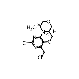 C[C@@H]1COC[C@H]2COc3c(CCl)nc(Cl)nc3N21